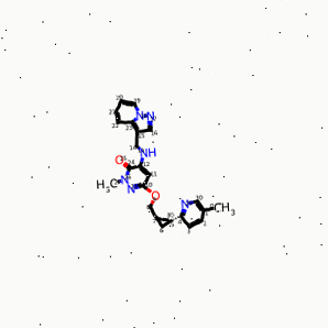 Cc1ccc([C@@H]2CC2COc2cc(NCc3cnn4ccccc34)c(=O)n(C)n2)nc1